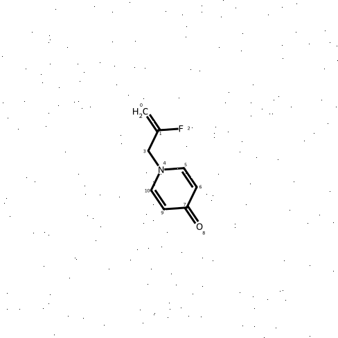 C=C(F)Cn1ccc(=O)cc1